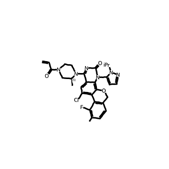 C=CC(=O)N1CCN(c2nc(=O)n(-c3ccnn3C(C)C)c3c4c(c(Cl)cc23)-c2c(ccc(C)c2F)CO4)[C@@H](C)C1